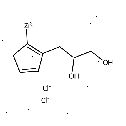 OCC(O)CC1=[C]([Zr+2])CC=C1.[Cl-].[Cl-]